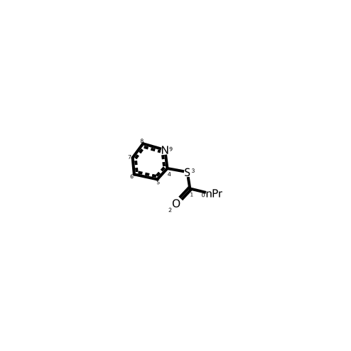 CCCC(=O)Sc1ccccn1